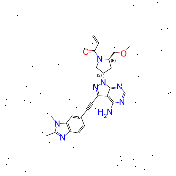 C=CC(=O)N1C[C@@H](n2nc(C#Cc3ccc4nc(C)n(C)c4c3)c3c(N)ncnc32)C[C@@H]1COC